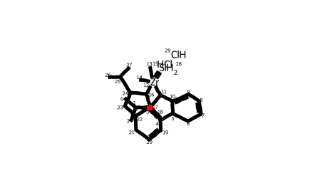 CC(C)C1CC2CC=CC=C2[CH]1[Zr]([CH3])([CH3])(=[SiH2])[CH]1C2=CC=CCC2CC1C(C)C.Cl.Cl